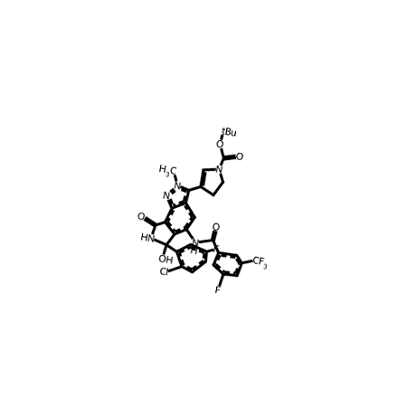 Cn1nc2c3c(c(NC(=O)c4cc(F)cc(C(F)(F)F)c4)cc2c1C1=CN(C(=O)OC(C)(C)C)CC1)C(O)(c1cc(F)ccc1Cl)NC3=O